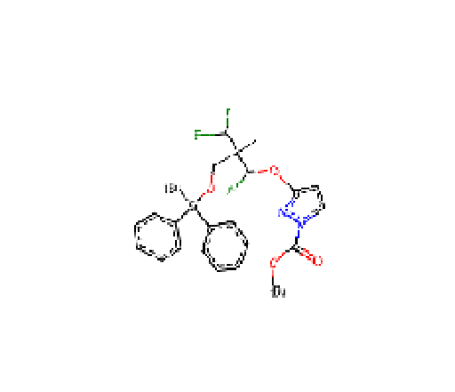 CC(C)(C)OC(=O)n1ccc(OC(F)C(C)(CO[Si](c2ccccc2)(c2ccccc2)C(C)(C)C)C(F)F)n1